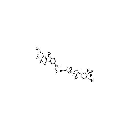 CCC(C)(C(=O)Nc1ccc(C#N)c(C(F)(F)F)c1)n1cc(C#CC(C)CNc2ccc3c(c2)C(=O)N(C(CCC=O)C(=O)NC)C3=O)cn1